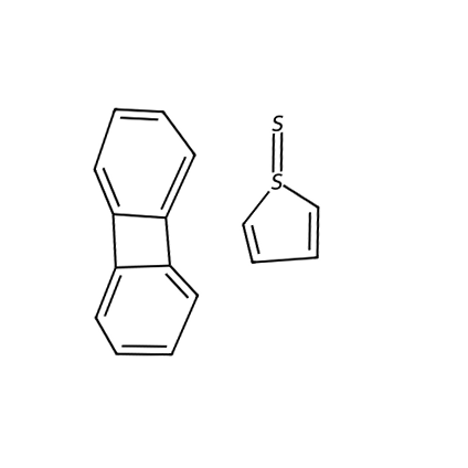 S=S1C=CC=C1.c1ccc2c(c1)-c1ccccc1-2